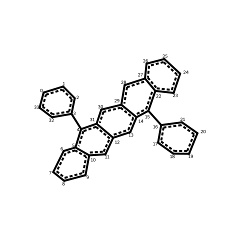 c1ccc(-c2c3ccccc3cc3cc4c(-c5ccccc5)c5ccccc5cc4cc23)cc1